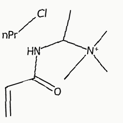 C=CC(=O)NC(C)[N+](C)(C)C.CCCCl